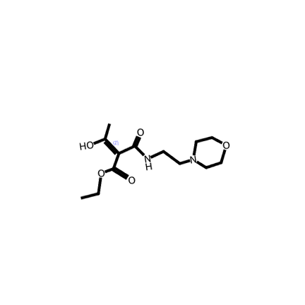 CCOC(=O)/C(C(=O)NCCN1CCOCC1)=C(/C)O